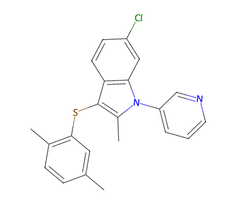 Cc1ccc(C)c(Sc2c(C)n(-c3cccnc3)c3cc(Cl)ccc23)c1